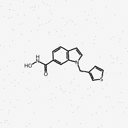 O=C(NO)c1ccc2ccn(Cc3ccsc3)c2c1